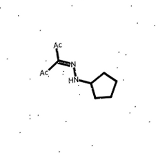 CC(=O)C(=NNC1CCCC1)C(C)=O